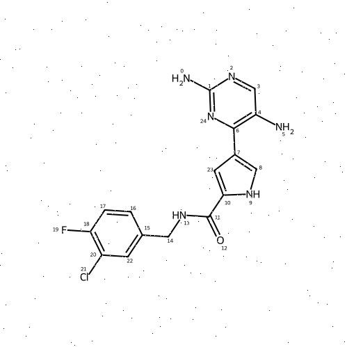 Nc1ncc(N)c(-c2c[nH]c(C(=O)NCc3ccc(F)c(Cl)c3)c2)n1